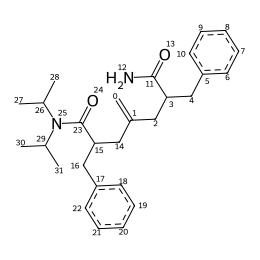 C=C(CC(Cc1ccccc1)C(N)=O)CC(Cc1ccccc1)C(=O)N(C(C)C)C(C)C